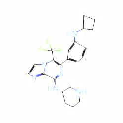 FC(F)(F)c1c(-c2cccc(NC3CCC3)c2)nc(N[C@H]2CCCNC2)c2nccn12